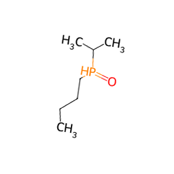 CCCC[PH](=O)C(C)C